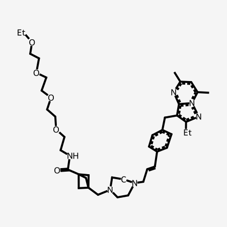 CCOCCOCCOCCOCCNC(=O)C12CC(CN3CCN(C/C=C/c4ccc(Cc5c(CC)nn6c(C)cc(C)nc56)cc4)CC3)(C1)C2